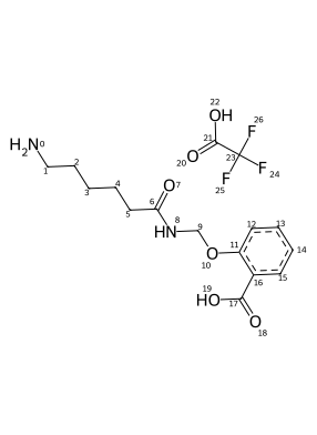 NCCCCCC(=O)NCOc1ccccc1C(=O)O.O=C(O)C(F)(F)F